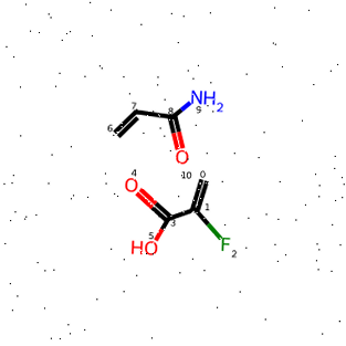 C=C(F)C(=O)O.C=CC(N)=O